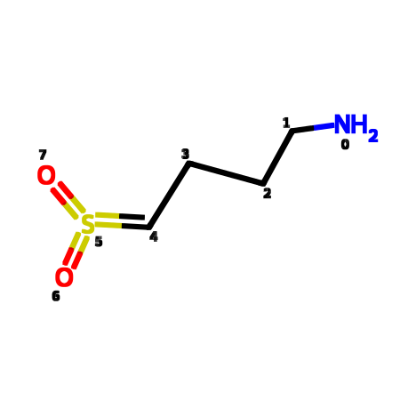 NCCCC=S(=O)=O